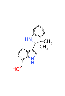 CC1(C)c2ccccc2NC1c1c[nH]c2c(CO)cccc12